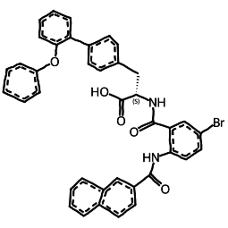 O=C(Nc1ccc(Br)cc1C(=O)N[C@@H](Cc1ccc(-c2ccccc2Oc2ccccc2)cc1)C(=O)O)c1ccc2ccccc2c1